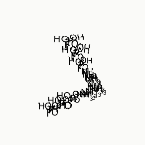 N.N.N.N.N.N.N.N.N.N.N.N.O=P(O)(O)F.O=P(O)(O)F.O=P(O)(O)F.O=P(O)(O)F.O=P(O)(O)F.O=P(O)(O)F